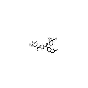 CCN(CC)C(=O)N1CCN(C(=O)c2cnc3ccc(F)cc3c2N2CCC(C)(C#N)CC2)CC1